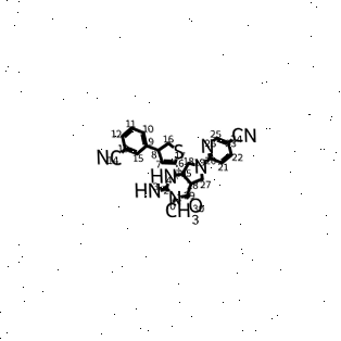 CN1C(=N)N[C@@]2(C3=CC(c4cccc(C#N)c4)CS3)CN(c3ccc(C#N)cn3)CC2C1=O